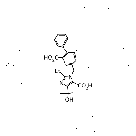 CCc1nc(C(C)(C)O)c(C(=O)O)n1Cc1ccc(-c2ccccc2)c(C(=O)O)c1